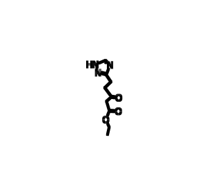 CCOC(=O)CC(=O)CCc1nc[nH]n1